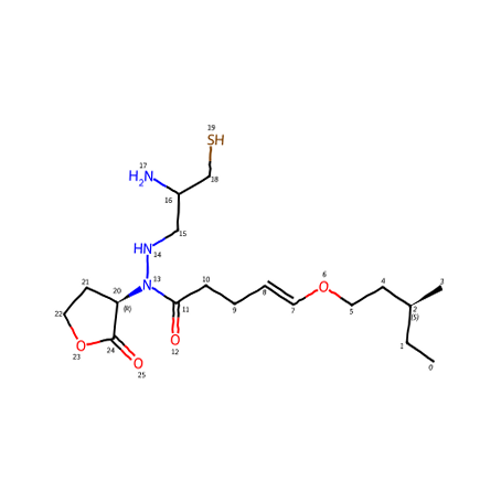 CC[C@H](C)CCOC=CCCC(=O)N(NCC(N)CS)[C@@H]1CCOC1=O